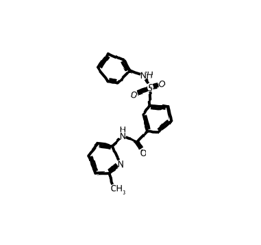 Cc1cccc(NC(=O)c2cccc(S(=O)(=O)Nc3ccccc3)c2)n1